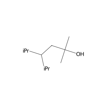 CC(C)C(CC(C)(C)O)C(C)C